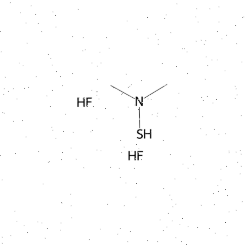 CN(C)S.F.F